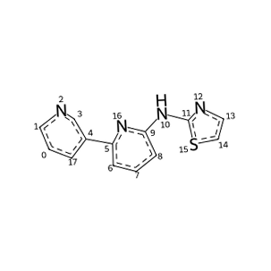 c1cncc(-c2cccc(Nc3nccs3)n2)c1